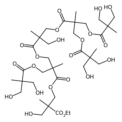 CCOC(=O)C(C)(CO)COC(=O)C(C)(COC(=O)C(C)(CO)CO)COC(=O)C(C)(CO)COC(=O)C(C)(COC(=O)C(C)(CO)CO)COC(=O)C(C)(CO)CO